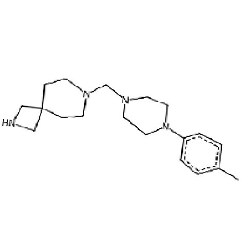 Cc1ccc(N2CCN(CN3CCC4(CC3)CNC4)CC2)cc1